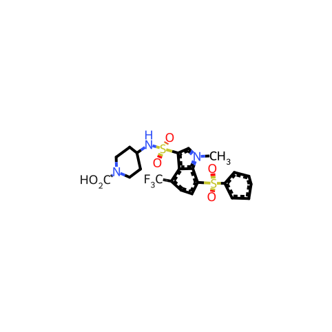 Cn1cc(S(=O)(=O)NC2CCN(C(=O)O)CC2)c2c(C(F)(F)F)ccc(S(=O)(=O)c3ccccc3)c21